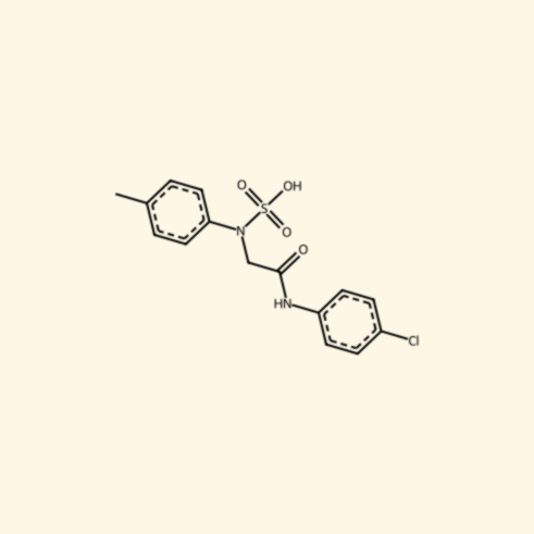 Cc1ccc(N(CC(=O)Nc2ccc(Cl)cc2)S(=O)(=O)O)cc1